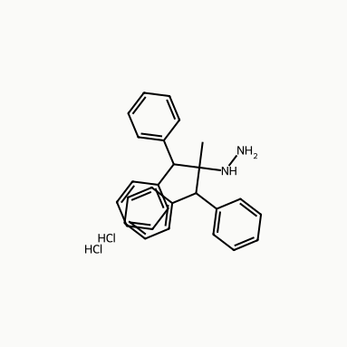 CC(NN)(C(c1ccccc1)c1ccccc1)C(c1ccccc1)c1ccccc1.Cl.Cl